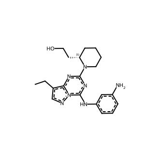 CCc1cnn2c(Nc3cccc(N)c3)nc(N3CCCC[C@H]3CCO)nc12